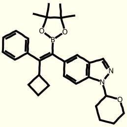 CC1(C)OB(/C(=C(\c2ccccc2)C2CCC2)c2ccc3c(cnn3C3CCCCO3)c2)OC1(C)C